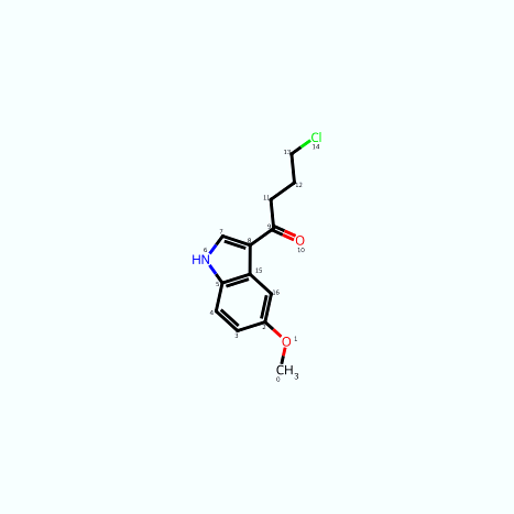 COc1ccc2[nH]cc(C(=O)CCCCl)c2c1